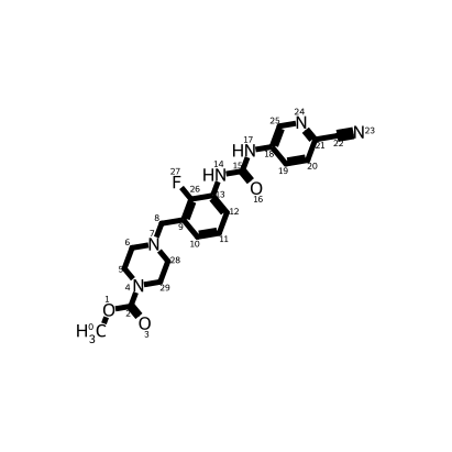 COC(=O)N1CCN(Cc2cccc(NC(=O)Nc3ccc(C#N)nc3)c2F)CC1